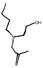 C=C(C)CN(CCO)CCCC